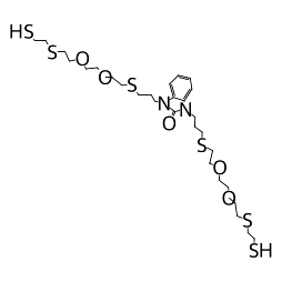 O=c1n(CCCSCCOCCOCCSCCS)c2ccccc2n1CCCSCCOCCOCCSCCS